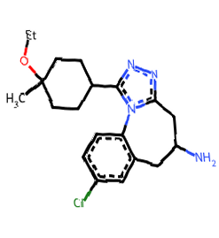 CCOC1(C)CCC(c2nnc3n2-c2ccc(Cl)cc2CC(N)C3)CC1